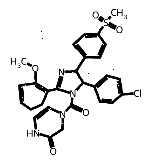 COC1=C(C2=NC(c3ccc(S(C)(=O)=O)cc3)C(c3ccc(Cl)cc3)N2C(=O)N2C=CNC(=O)C2)CCC=C1